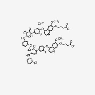 COc1cc2c(Oc3ccc(NC(=O)C4(C(=O)Nc5cccc(Cl)c5)CC4)cc3F)ccnc2cc1OCCCC(=O)[O-].COc1cc2c(Oc3ccc(NC(=O)C4(C(=O)Nc5cccc(Cl)c5)CC4)cc3F)ccnc2cc1OCCCC(=O)[O-].[Ca+2]